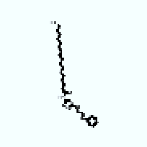 CCCCCCCCC=CCCCCCCCC(=O)Nc1nnc(NCCNc2ccccc2)s1